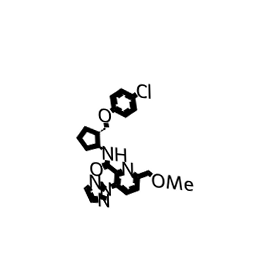 COCc1ccc(-n2nccn2)c(C(=O)N[C@H]2CCC[C@@H]2COc2ccc(Cl)cc2)n1